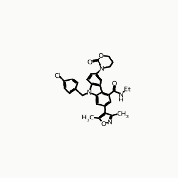 CCNC(=O)c1cc(-c2c(C)noc2C)cc2c1c1cc(N3CCCOC3=O)ccc1n2Cc1ccc(Cl)cc1